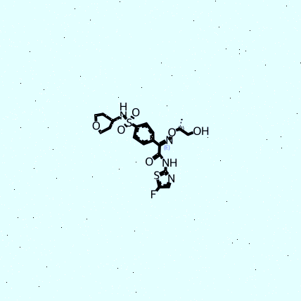 C[C@H](CO)O/N=C(/C(=O)Nc1ncc(F)s1)c1ccc(S(=O)(=O)NC2CCOCC2)cc1